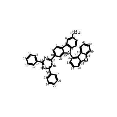 CC(C)(C)c1ccc2c(c1)c1ccc(-c3nc(-c4ccccc4)nc(-c4ccccc4)n3)cc1n2-c1cccc2oc3ccccc3c12